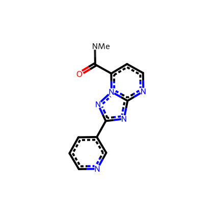 CNC(=O)c1ccnc2nc(-c3cccnc3)nn12